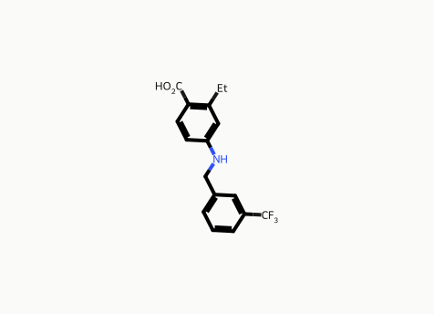 CCc1cc(NCc2cccc(C(F)(F)F)c2)ccc1C(=O)O